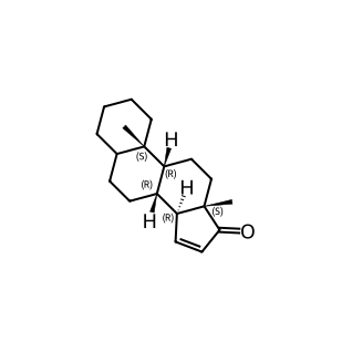 C[C@]12CCCCC1CC[C@@H]1[C@H]2CC[C@]2(C)C(=O)C=C[C@@H]12